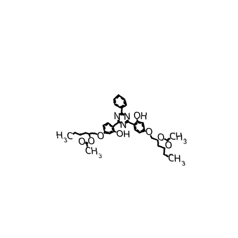 CCCCC(COc1ccc(-c2nc(-c3ccccc3)nc(-c3ccc(OCC(CCCC)OC(C)=O)cc3O)n2)c(O)c1)OC(C)=O